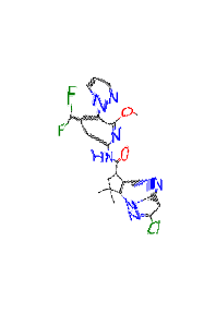 COc1nc(NC(=O)C2CC(C)(C)c3c2cnc2cc(Cl)nn32)cc(C(F)F)c1-n1cccn1